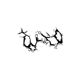 CN1C(=O)[C@@H](NC(=O)c2n[nH]c3c2CC(C(C)(C)C)CC3)COc2ccccc21